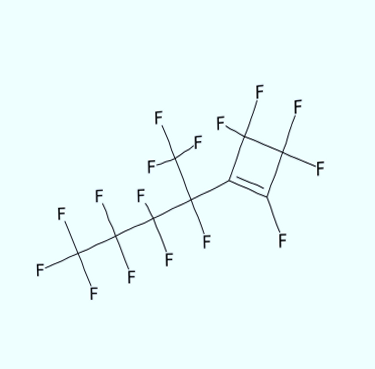 FC1=C(C(F)(C(F)(F)F)C(F)(F)C(F)(F)C(F)(F)F)C(F)(F)C1(F)F